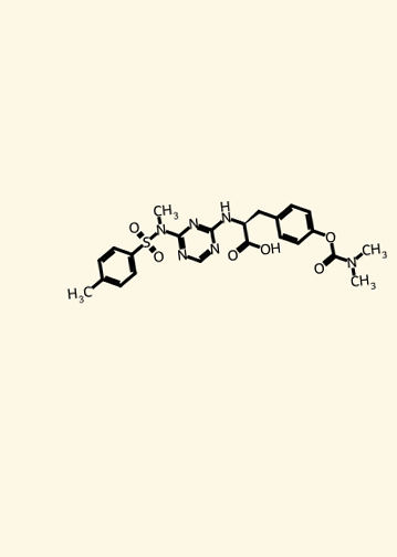 Cc1ccc(S(=O)(=O)N(C)c2ncnc(N[C@@H](Cc3ccc(OC(=O)N(C)C)cc3)C(=O)O)n2)cc1